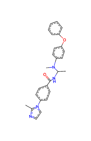 Cc1nccn1-c1ccc(C(=O)NC(C)N(C)c2ccc(Oc3ccccc3)cc2)cc1